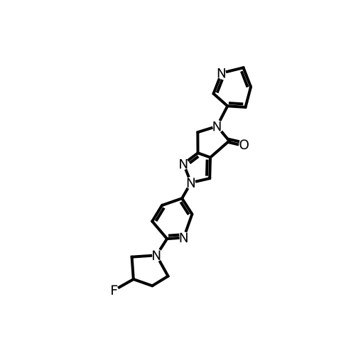 O=C1c2cn(-c3ccc(N4CCC(F)C4)nc3)nc2CN1c1cccnc1